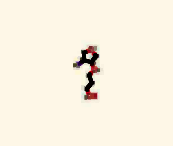 OCCCOC1COCC1I